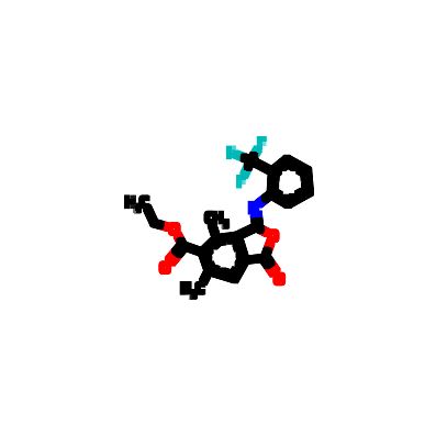 CCOC(=O)c1c(C)cc2c(c1C)/C(=N/c1ccccc1C(F)(F)F)OC2=O